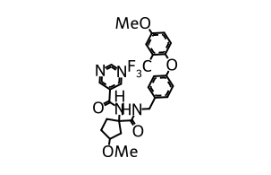 COc1ccc(Oc2ccc(CNC(=O)C3(NC(=O)c4cncnc4)CCC(OC)C3)cc2)c(C(F)(F)F)c1